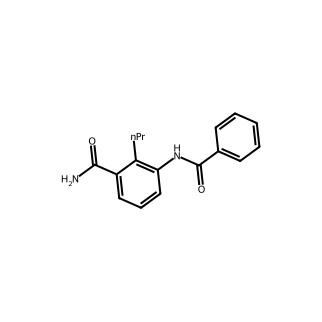 CCCc1c(NC(=O)c2ccccc2)cccc1C(N)=O